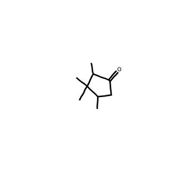 CC1CC(=O)C(C)C1(C)C